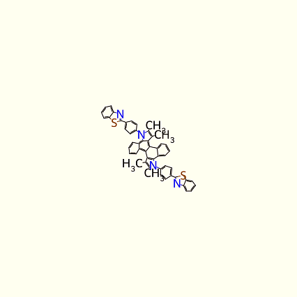 Cc1c(C)n(-c2ccc(-c3nc4ccccc4s3)cc2)c2c3ccccc3c3c4c(C)c(C)n(-c5ccc(-c6nc7ccccc7s6)cc5)c4c4ccccc4c3c12